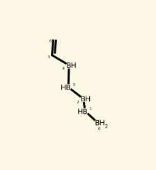 BBBBBC=C